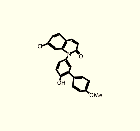 COc1ccc(-c2cc(-n3c(=O)ccc4ccc(Cl)cc43)ccc2O)cc1